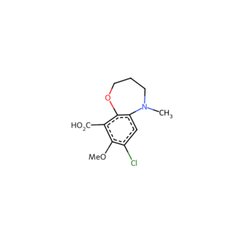 COc1c(Cl)cc2c(c1C(=O)O)OCCCN2C